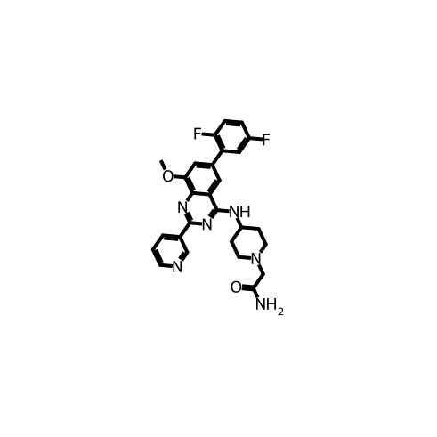 COc1cc(-c2cc(F)ccc2F)cc2c(NC3CCN(CC(N)=O)CC3)nc(-c3cccnc3)nc12